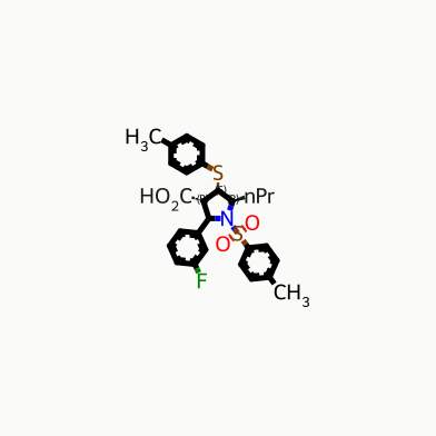 CCC[C@@H]1[C@@H](Sc2ccc(C)cc2)[C@@H](C(=O)O)C(c2cccc(F)c2)N1S(=O)(=O)c1ccc(C)cc1